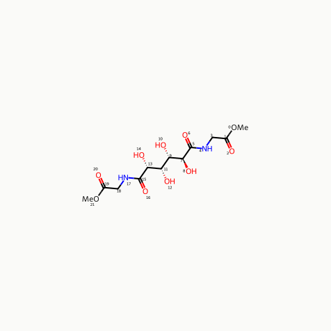 COC(=O)CNC(=O)[C@@H](O)[C@@H](O)[C@H](O)[C@@H](O)C(=O)NCC(=O)OC